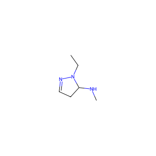 CCN1N=CCC1NC